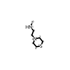 INCCN1CCSCC1